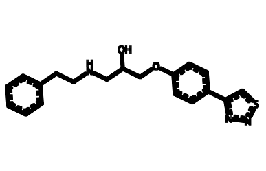 OC(CNCCc1ccccc1)COc1ccc(-c2csnn2)cc1